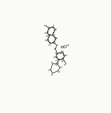 Cc1ccc2cc(CCc3cc(N4CCCCC4)c(C)cn3)ccc2c1.Cl